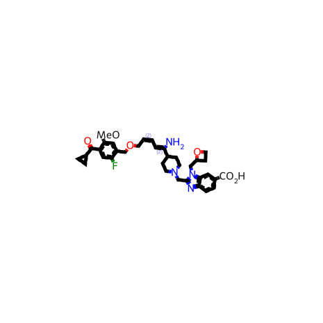 COc1cc(COC/C=C\C=C(/N)C2CCN(Cc3nc4ccc(C(=O)O)cc4n3CC3CCO3)CC2)c(F)cc1C(=O)C1CC1